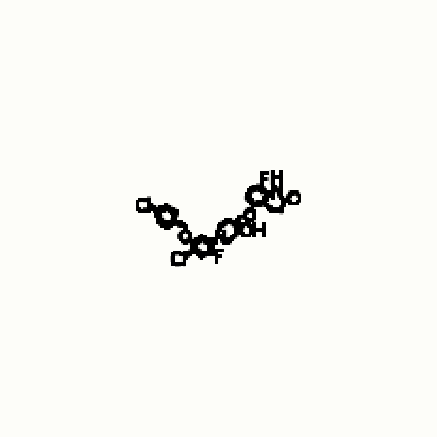 O=C1CCc2c(OCC3(O)CCN(c4cc(OCc5ccc(Cl)cc5)c(Cl)cc4F)CC3)ccc(F)c2N1